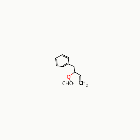 C=CC(Cc1ccccc1)O[C]=O